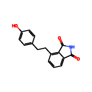 O=C1NC(=O)c2c(CCc3ccc(O)cc3)cccc21